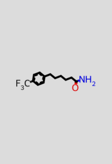 NC(=O)CCCCCc1ccc(C(F)(F)F)cc1